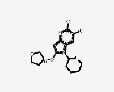 Clc1cc2c(cc(O[C@H]3CCOC3)n2C2CCCCO2)nc1Cl